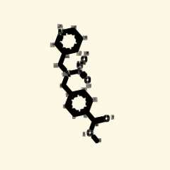 COC(=O)c1ccc(CN(Cc2cccnc2)[SH](=O)=O)cc1